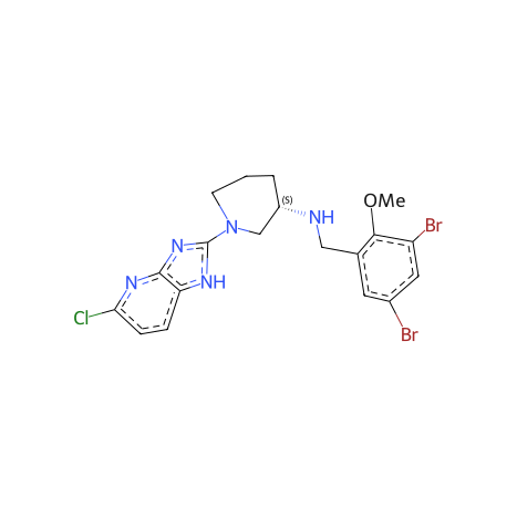 COc1c(Br)cc(Br)cc1CN[C@H]1CCCN(c2nc3nc(Cl)ccc3[nH]2)C1